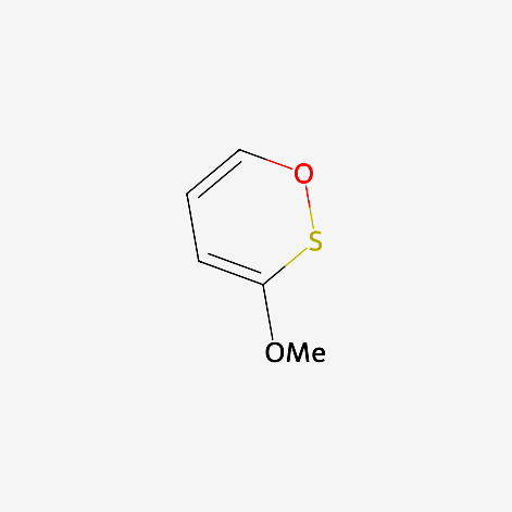 COC1=CC=COS1